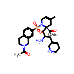 COC(=O)[C@]1(C(=O)C(N)CC2=CCCNC2)CC(C)=CCN1S(=O)(=O)c1ccc2c(c1)CN(C(=O)C(F)(F)F)CC2